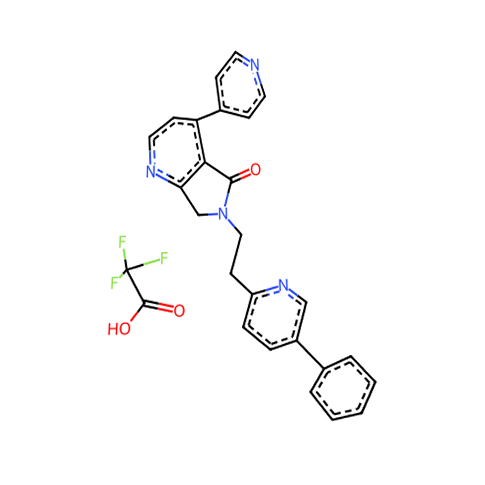 O=C(O)C(F)(F)F.O=C1c2c(-c3ccncc3)ccnc2CN1CCc1ccc(-c2ccccc2)cn1